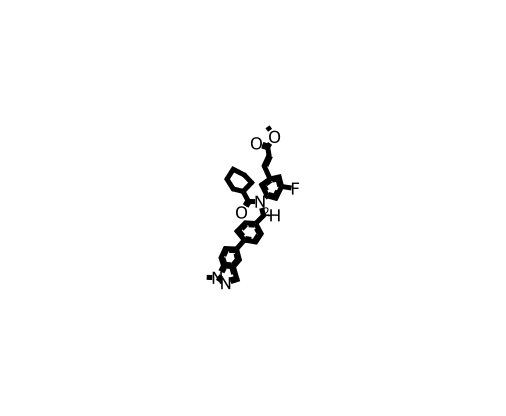 [2H][C@H](c1ccc(-c2ccc3c(cnn3C)c2)cc1)N(C(=O)C1CCCCC1)c1cc(F)cc(/C=C/C(=O)OC)c1